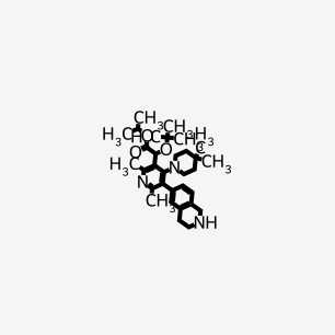 Cc1nc(C)c(C(OC(C)(C)C)C(=O)OC(C)C)c(N2CCC(C)(C)CC2)c1-c1ccc2c(c1)CCNC2